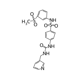 CS(=O)(=O)c1cccc(NS(=O)(=O)c2ccc(NC(=O)NCc3cccnc3)cc2)c1